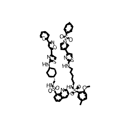 COc1ccc(C)cc1S(=O)(=O)NCCCCCNc1nc(-c2ccn(S(=O)(=O)c3ccccc3)c2)cs1.O=S(=O)(NC[C@H]1CC[C@H](Nc2nc(-c3cc(-c4ccccc4)no3)cs2)CC1)c1cccc2cccnc12